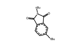 CCCCN1C(=O)c2ccc(C(C)(C)C)cc2C1=O